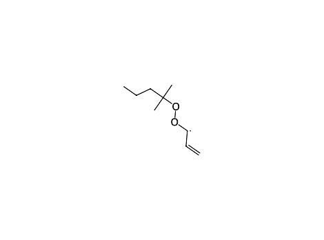 C=C[CH]OOC(C)(C)CCC